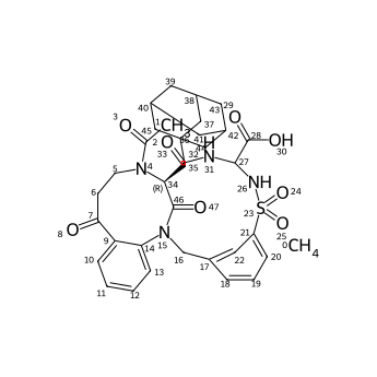 C.CC(=O)N1CCC(=O)c2ccccc2N2Cc3cccc(c3)S(=O)(=O)NC(C(=O)O)NC(=O)[C@]1(CC13CC4CC(CC(C4)C1)C3)C2=O